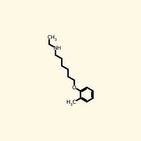 CCNCCCCCCOc1ccccc1C